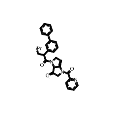 CC(C)CC(C(=O)N1CC=C2C1C(=O)CN2C(=O)c1ccccn1)c1cccc(-c2ccccc2)c1